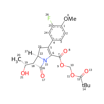 COc1ccc(C2=C(C(=O)OCOC(=O)C(C)(C)C)N3C(=O)[C@H]([C@@H](C)O)[C@H]3C2)cc1F